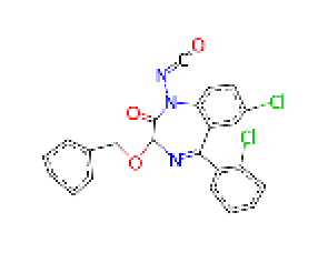 O=C=NN1C(=O)C(OCc2ccccc2)N=C(c2ccccc2Cl)c2cc(Cl)ccc21